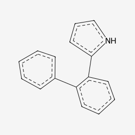 c1ccc(-c2ccccc2-c2ccc[nH]2)cc1